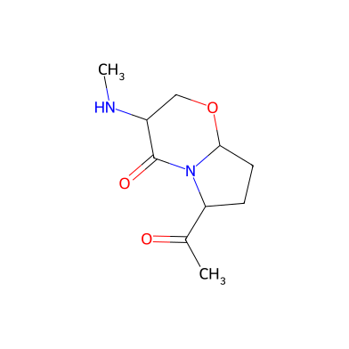 CNC1COC2CCC(C(C)=O)N2C1=O